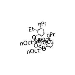 CCCCCCC[CH2][Sn]([CH2]CCCCCCC)([O]c1cccc(CCC)c1CC)[O][Sn]([CH2]CCCCCCC)([CH2]CCCCCCC)[O]c1cccc(CCC)c1CC